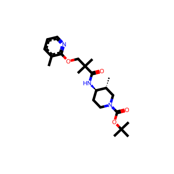 Cc1cccnc1OCC(C)(C)C(=O)N[C@@H]1CCN(C(=O)OC(C)(C)C)C[C@H]1C